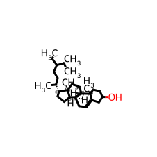 CCC(CCC(C)[C@H]1CC[C@H]2[C@@H]3CC=C4CC(O)CC[C@]4(C)[C@H]3CC[C@]12C)C(C)C